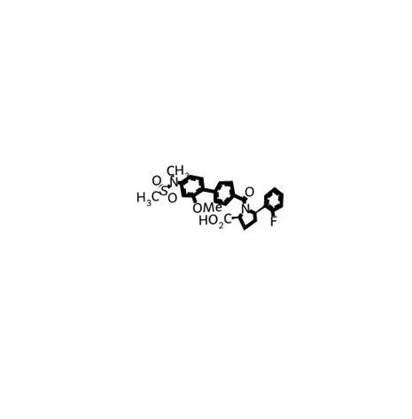 COc1cc(N(C)S(C)(=O)=O)ccc1-c1ccc(C(=O)N2[C@@H](c3ccccc3F)CC[C@H]2C(=O)O)cc1